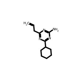 C=CCc1nc(N)nc(C2CCCCC2)n1